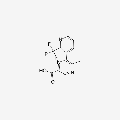 Cc1ncc(C(=O)O)nc1-c1cccnc1C(F)(F)F